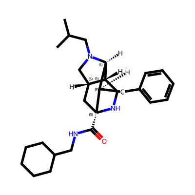 CC(C)CN1C[C@H]2C[C@]3(C(=O)NCC4CCCCC4)NC[C@H]2[C@H]1[C@H]3Cc1ccccc1